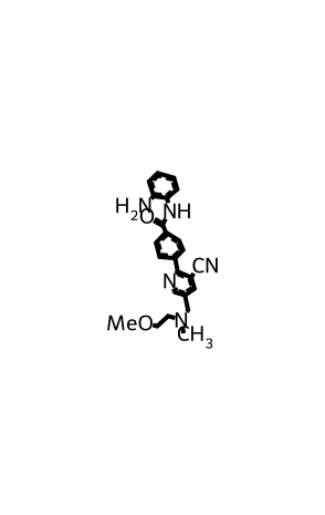 COCCN(C)Cc1cnc(-c2ccc(C(=O)Nc3ccccc3N)cc2)c(C#N)c1